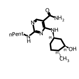 CCCCCNc1ncc(C(N)=O)c(N[C@@H]2CC[C@@H](C)[C@H](O)C2)n1